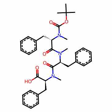 CN(C(=O)OC(C)(C)C)[C@@H](Cc1ccccc1)C(=O)N(C)[C@@H](Cc1ccccc1)C(=O)N(C)[C@@H](Cc1ccccc1)C(=O)O